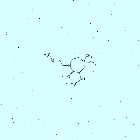 CNC1CC(C)(C)CCN(CCOC)C1=O